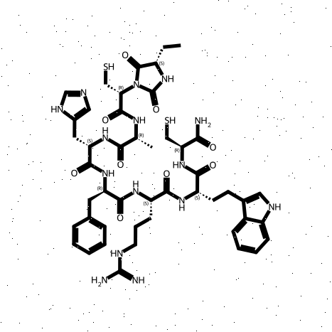 CC[C@@H]1NC(=O)N([C@@H](CS)C(=O)N[C@H](C)C(=O)N[C@@H](Cc2cnc[nH]2)C(=O)N[C@H](Cc2ccccc2)C(=O)N[C@@H](CCCNC(=N)N)C(=O)N[C@@H](CCc2c[nH]c3ccccc23)C(=O)N[C@@H](CS)C(N)=O)C1=O